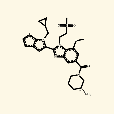 COc1cc(C(=O)N2CCC[C@@H](N)C2)cc2nc(-c3cc4ccsc4n3CC3CC3)n(CCS(C)(=O)=O)c12